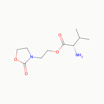 CC(C)[C@H](N)C(=O)OCCN1CCOC1=O